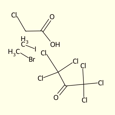 CBr.CI.O=C(C(Cl)(Cl)Cl)C(Cl)(Cl)Cl.O=C(O)CCl